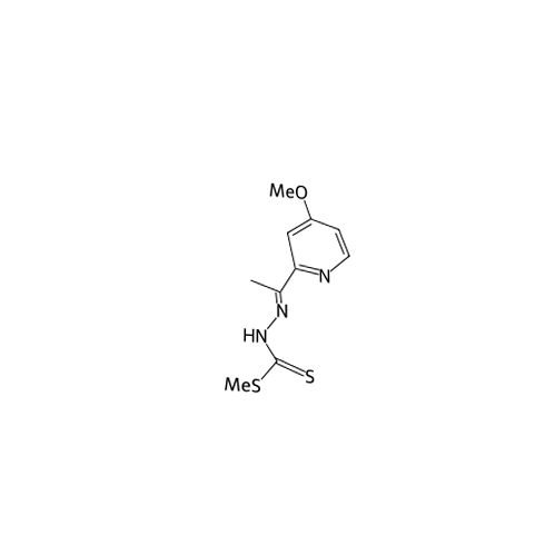 COc1ccnc(/C(C)=N/NC(=S)SC)c1